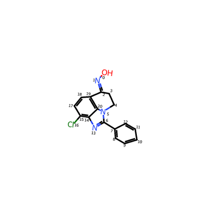 ON=C1CCn2c(-c3ccccc3)nc3c(Cl)ccc1c32